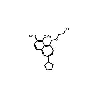 COc1ccc2c(c1OC)=C(COCCO)OC=C(C1CCCC1)C=2